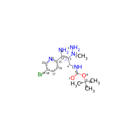 CN(N)/C(CNC(=O)OC(C)(C)C)=C(\N)c1ccc(Br)cn1